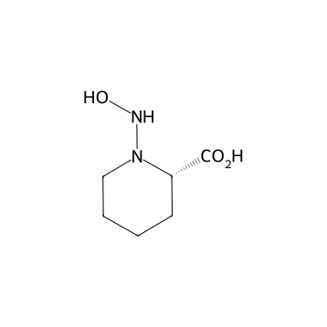 O=C(O)[C@@H]1CCCCN1NO